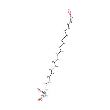 O=C=NCCCCCCCCCCCCCCCCCCC(=O)NO